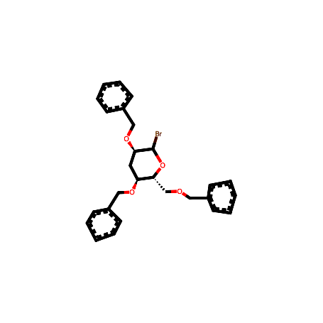 BrC1O[C@H](COCc2ccccc2)[C@@H](OCc2ccccc2)C[C@H]1OCc1ccccc1